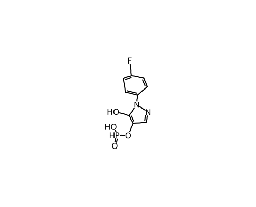 O=[PH](O)Oc1cnn(-c2ccc(F)cc2)c1O